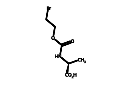 C[C@H](NC(=O)OCCBr)C(=O)O